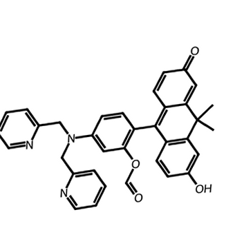 CC1(C)C2=CC(=O)C=CC2=C(c2ccc(N(Cc3ccccn3)Cc3ccccn3)cc2OC=O)c2ccc(O)cc21